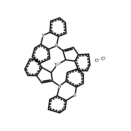 C1=C(N2c3ccccc3Sc3ccccc32)[CH]([Ti+2][CH]2C(N3c4ccccc4Sc4ccccc43)=Cc3ccccc32)c2ccccc21.[Cl-].[Cl-]